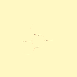 CCc1cc(F)cc(C=O)c1F